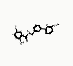 COc1cccc(-c2cccc(CNC(=O)c3cc(Cl)ccc3O)c2)c1